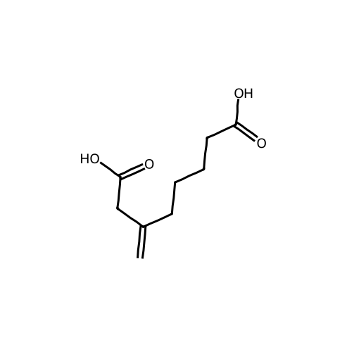 C=C(CCCCC(=O)O)CC(=O)O